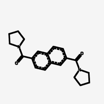 O=C(c1ccc2cc(C(=O)N3CCCC3)ccc2c1)N1CCCC1